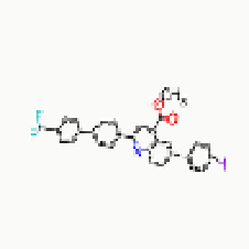 COC(=O)c1cc(-c2ccc(-c3ccc(C(F)F)cc3)cc2)nc2ccc(-c3ccc(I)cc3)cc12